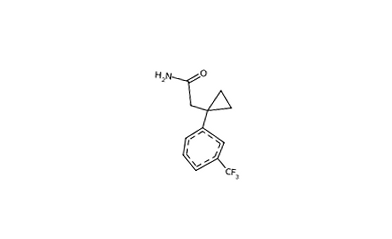 NC(=O)CC1(c2cccc(C(F)(F)F)c2)CC1